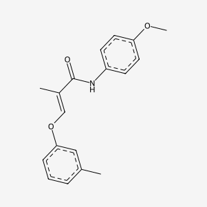 COc1ccc(NC(=O)C(C)=COc2cccc(C)c2)cc1